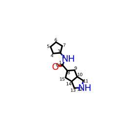 O=C(NC1CCCC1)C1CC2CNCC2C1